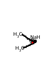 CCCCCCCCCCCCOS(=O)(=O)c1ccccc1CCCCCCCCCCCC.[NaH]